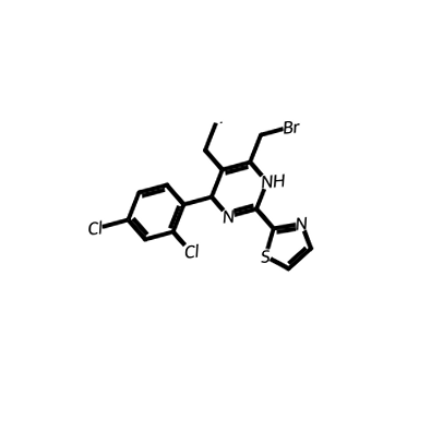 [CH2]CC1=C(CBr)NC(c2nccs2)=NC1c1ccc(Cl)cc1Cl